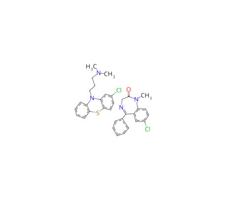 CN(C)CCCN1c2ccccc2Sc2ccc(Cl)cc21.CN1C(=O)CN=C(c2ccccc2)c2cc(Cl)ccc21